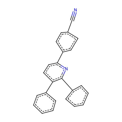 N#Cc1ccc(-c2ccc(-c3ccccc3)c(-c3ccccc3)n2)cc1